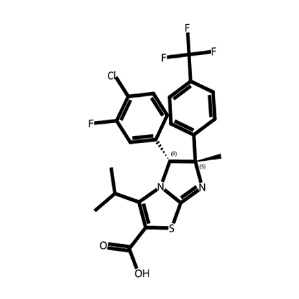 CC(C)C1=C(C(=O)O)SC2=N[C@@](C)(c3ccc(C(F)(F)F)cc3)[C@@H](c3ccc(Cl)c(F)c3)N21